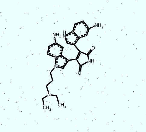 CCN(CC)CCCn1cc(C2=C(c3c[nH]c4ccc(N)cc34)C(=O)NC2=O)c2cc(N)ccc21